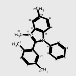 Cc1ccc(C)c(-c2n(-c3ccccc3)c3ccc(C)cc3[n+]2C)c1